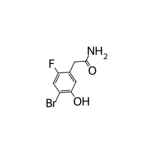 NC(=O)Cc1cc(O)c(Br)cc1F